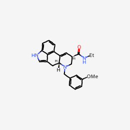 CCNC(=O)[C@@H]1C=C2c3cccc4[nH]cc(c34)C[C@H]2N(Cc2cccc(OC)c2)C1